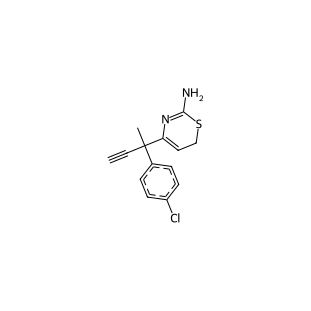 C#CC(C)(C1=CCSC(N)=N1)c1ccc(Cl)cc1